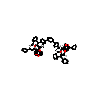 c1ccc(-c2ccc(-c3nc(-c4ccc(-c5cccc(-c6ccc7c(-c8ccccc8-c8nc(-c9ccccc9)cc(-c9ccccc9)n8)c8oc9ccccc9c8nc7c6)c5)cc4)nc(-c4ccccc4-c4c5ccccc5nc5c4oc4ccccc45)n3)cc2)cc1